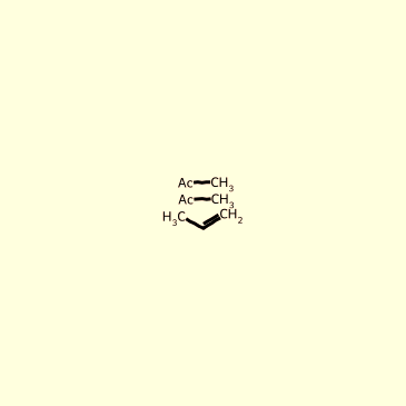 C=CC.CC(C)=O.CC(C)=O